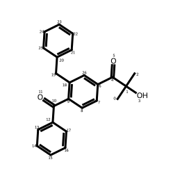 CC(C)(O)C(=O)c1ccc(C(=O)c2ccccc2)c(Cc2ccccc2)c1